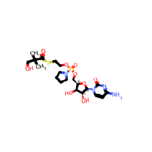 CC(C)(CO)C(=O)SCCOP(=O)(OC[C@H]1O[C@@H](n2ccc(N)nc2=O)[C@@H](O)C1O)N1CCCC1